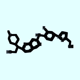 CN1CCC(C(CO)c2ccc3cnc(Nc4ccc(-n5ccc(CO)n5)cc4F)cc3n2)CC1